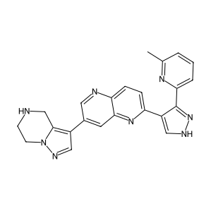 Cc1cccc(-c2n[nH]cc2-c2ccc3ncc(-c4cnn5c4CNCC5)cc3n2)n1